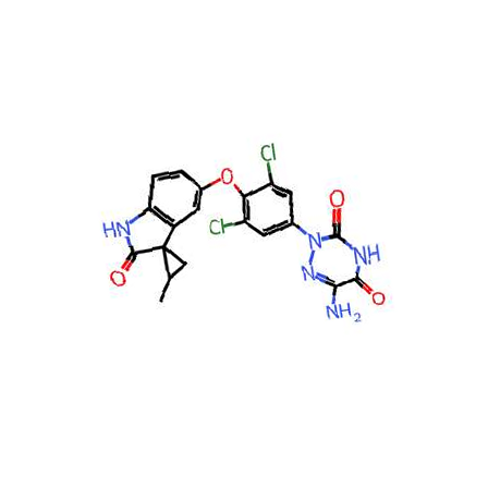 CC1CC12C(=O)Nc1ccc(Oc3c(Cl)cc(-n4nc(N)c(=O)[nH]c4=O)cc3Cl)cc12